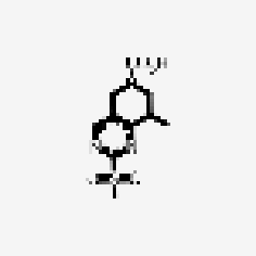 CC1CN(C(=O)O)Cc2cnc(S(C)(=O)=O)nc21